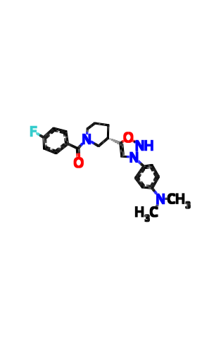 CN(C)c1ccc(N2C=C([C@H]3CCCN(C(=O)c4ccc(F)cc4)C3)ON2)cc1